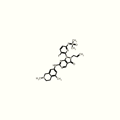 C=CCn1c(=O)c2cnc(Nc3cc(C)c4c(c3)CN(C)CC4)nc2n1-c1nc(N=S(C)(C)=O)ccc1F